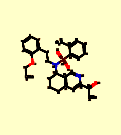 COCOc1ccccc1CCN(C1CCCc2cc(C(=O)OC)ncc21)S(=O)(=O)c1ccccc1[N+](=O)[O-]